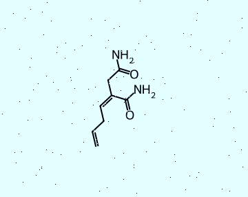 C=CCC=C(CC(N)=O)C(N)=O